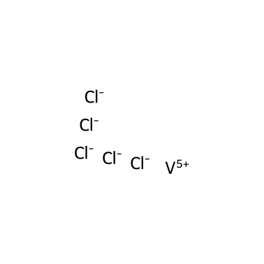 [Cl-].[Cl-].[Cl-].[Cl-].[Cl-].[V+5]